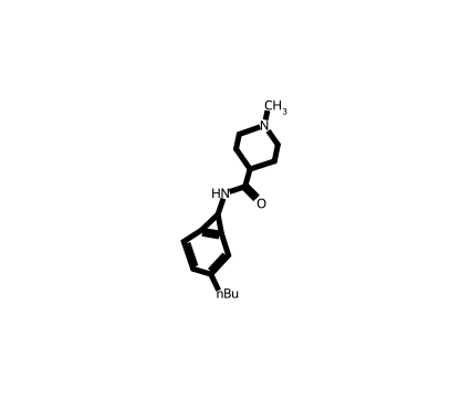 CCCCc1ccc2c(c1)C2NC(=O)C1CCN(C)CC1